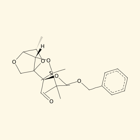 C[C@@H]1OC2([C@H](C=O)OCOCc3ccccc3)COC1[C@@H]2O[Si](C)(C)C(C)(C)C